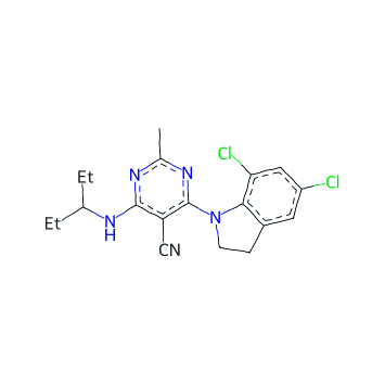 CCC(CC)Nc1nc(C)nc(N2CCc3cc(Cl)cc(Cl)c32)c1C#N